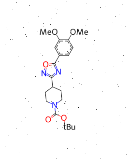 COc1ccc(-c2nc(C3CCN(C(=O)OC(C)(C)C)CC3)no2)cc1OC